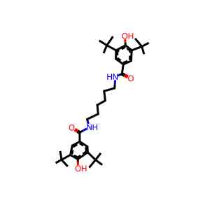 CC(C)(C)c1cc(C(=O)NCCCCCCNC(=O)c2cc(C(C)(C)C)c(O)c(C(C)(C)C)c2)cc(C(C)(C)C)c1O